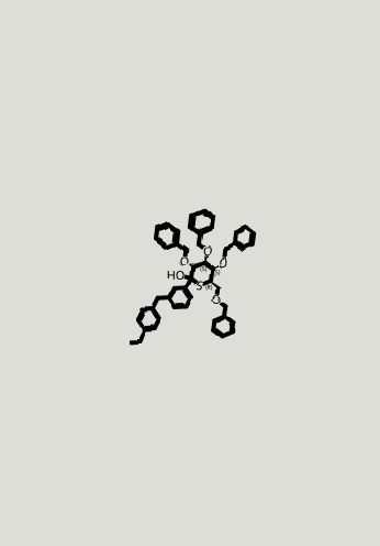 CCc1ccc(Cc2cccc(C3(O)S[C@H](COCc4ccccc4)[C@@H](OCc4ccccc4)[C@H](OCc4ccccc4)[C@H]3OCc3ccccc3)c2)cc1